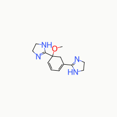 COC1(C2=NCCN2)C=CC=C(C2=NCCN2)C1